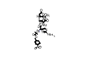 CC(C)(O/N=C(\C(=O)N[C@@H]1C(=O)N2[C@@H]1CS[C@@H]1CC(=O)O[C@]12C(=O)O)c1csc(N)n1)C(=O)OCc1ccc([N+](=O)[O-])cc1